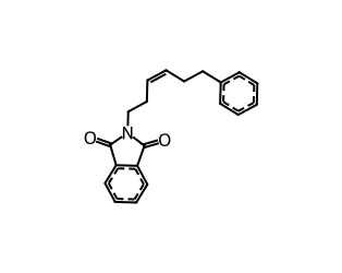 O=C1c2ccccc2C(=O)N1CC/C=C\CCc1ccccc1